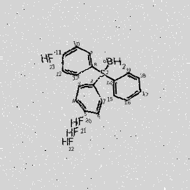 BS(c1ccccc1)(c1ccccc1)c1ccccc1.F.F.F.F